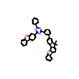 CC1(C)c2cc(-c3cccc(-c4nc(-c5ccccc5)nc(-c5ccc6c(c5)oc5ccccc56)n4)c3)ccc2-c2c1ccc1c2oc2ccccc21